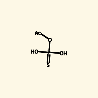 CC(=O)OP(O)(O)=S